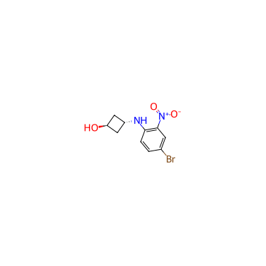 O=[N+]([O-])c1cc(Br)ccc1N[C@H]1C[C@H](O)C1